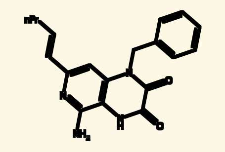 CCCC=Cc1cc2c([nH]c(=O)c(=O)n2Cc2ccccc2)c(N)n1